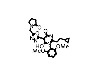 COc1cccc(OC)c1-n1c(CCC2CC2)nc(=O)c(-c2nnc(CN3CCCC3=O)o2)c1O